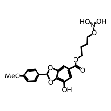 COc1ccc(C2Oc3cc(C(=O)OCCCCON(O)O)cc(O)c3O2)cc1